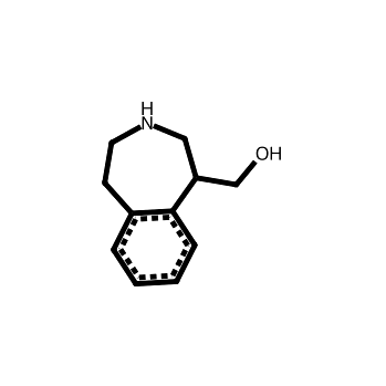 OCC1CNCCc2ccccc21